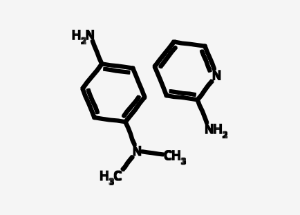 CN(C)c1ccc(N)cc1.Nc1ccccn1